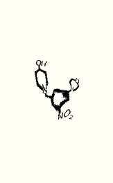 O=[N+]([O-])c1cc(CN2CCC(O)CC2)cc(N2CCOCC2)c1